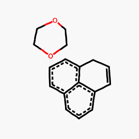 C1=Cc2cccc3cccc(c23)C1.C1COCCO1